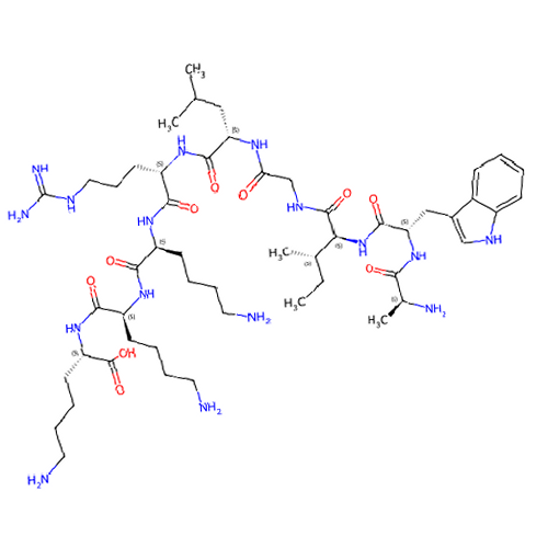 CC[C@H](C)[C@H](NC(=O)[C@H](Cc1c[nH]c2ccccc12)NC(=O)[C@H](C)N)C(=O)NCC(=O)N[C@@H](CC(C)C)C(=O)N[C@@H](CCCNC(=N)N)C(=O)N[C@@H](CCCCN)C(=O)N[C@@H](CCCCN)C(=O)N[C@@H](CCCCN)C(=O)O